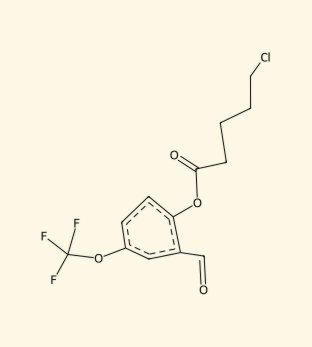 O=Cc1cc(OC(F)(F)F)ccc1OC(=O)CCCCCl